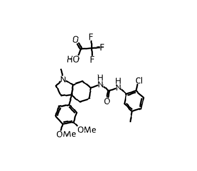 COc1ccc(C23CCC(NC(=O)Nc4cc(C)ccc4Cl)CC2N(C)CC3)cc1OC.O=C(O)C(F)(F)F